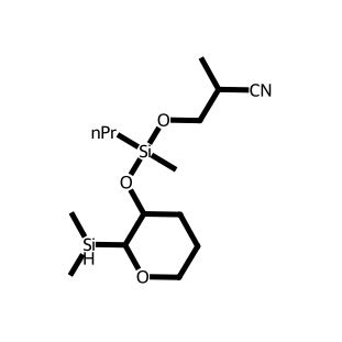 CCC[Si](C)(OCC(C)C#N)OC1CCCOC1[SiH](C)C